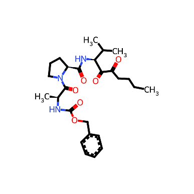 CCCCC(=O)C(=O)[C@@H](NC(=O)[C@@H]1CCCN1C(=O)[C@H](C)NC(=O)OCc1ccccc1)C(C)C